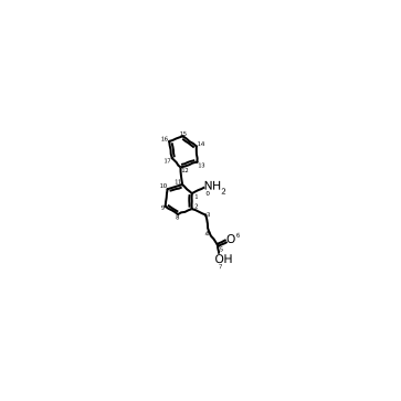 Nc1c(CCC(=O)O)cccc1-c1ccccc1